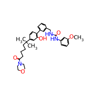 COc1cccc(NC(=O)NCc2cccc(-c3ccc(C(C)(C)CCCCC(=O)N4CCOCC4)cc3O)c2)c1